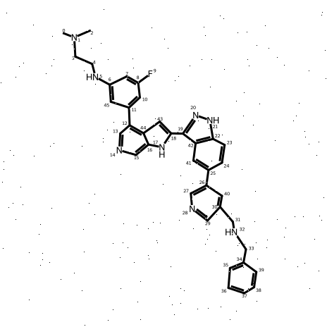 CN(C)CCNc1cc(F)cc(-c2cncc3[nH]c(-c4n[nH]c5ccc(-c6cncc(CNCc7ccccc7)c6)cc45)cc23)c1